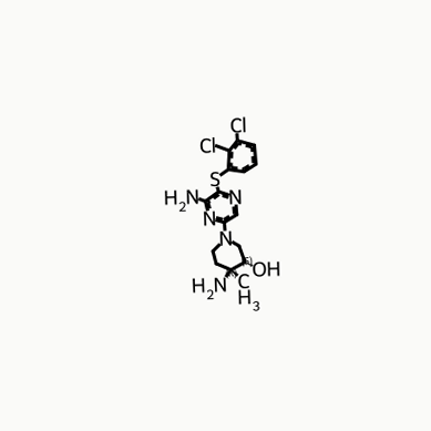 C[C@@]1(N)CCN(c2cnc(Sc3cccc(Cl)c3Cl)c(N)n2)C[C@@H]1O